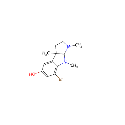 CN1CCC2(C)c3cc(O)cc(Br)c3N(C)C12